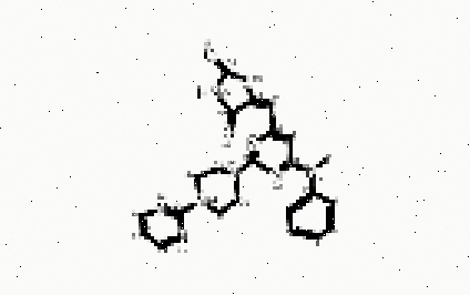 CN(c1ccccc1)c1cc(/C=C2/SC(=O)NC2=O)nc(N2CCN(c3ncccn3)CC2)n1